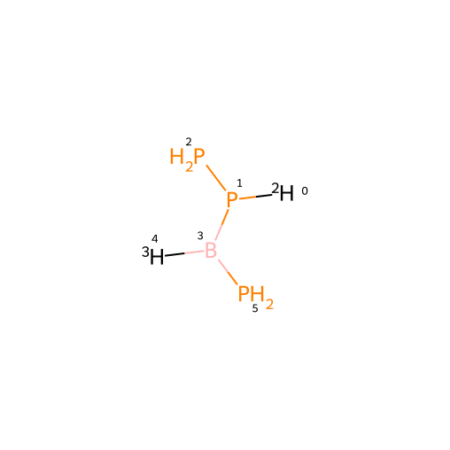 [2H]P(P)B([3H])P